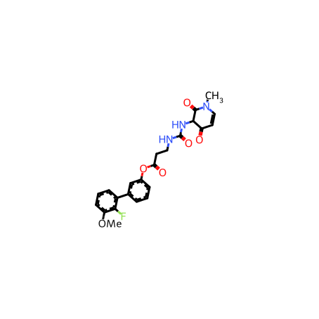 COc1cccc(-c2cccc(OC(=O)CCNC(=O)NC3C(=O)C=CN(C)C3=O)c2)c1F